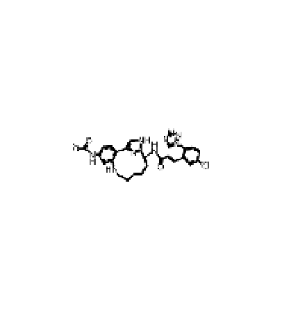 COC(=O)Nc1ccc2c(c1)NCC/C=C/C[C@H](NC(=O)/C=C/c1cc(Cl)ccc1-n1cnnn1)c1nc-2c[nH]1